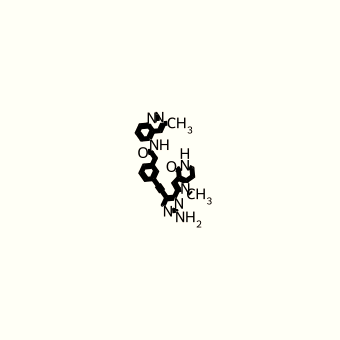 Cc1cc2c(NC(=O)Cc3cccc(C#Cc4cnc(N)nc4-c4cc5c(n4C)CCNC5=O)c3)cccc2nn1